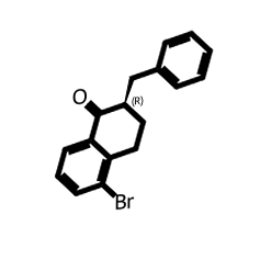 O=C1c2cccc(Br)c2CC[C@@H]1Cc1ccccc1